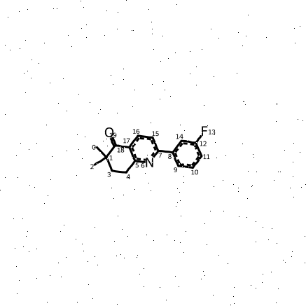 CC1(C)CCc2nc(-c3cccc(F)c3)ccc2C1=O